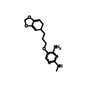 CNc1ncc(OCCCC2C=C3OCOC3=CC2)c(N)n1